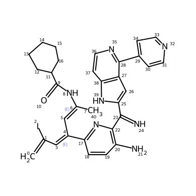 C=C(I)/C=C(\C=C(/C)NC(=O)C1CCCCC1)c1ccc(N)c(C(=N)c2cc3c(-c4ccncc4)nccc3[nH]2)n1